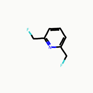 FCc1cccc(CF)n1